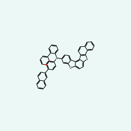 c1ccc(-c2ccccc2N(c2ccc(-c3ccc4ccccc4c3)cc2)c2ccc3c(c2)oc2ccc4sc5c6ccccc6ccc5c4c23)cc1